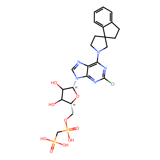 O=P(O)(O)CP(=O)(O)OC[C@H]1O[C@@H](n2cnc3c(N4CCC5(CCc6ccccc65)C4)nc(Cl)nc32)C(O)C1O